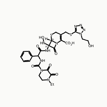 CCN1CCN(C(=O)NC(C(=O)N[C@]2(NO)C(=O)N3C(C(=O)O)=C(CSc4nnnn4CCO)CS[C@H]32)c2ccccc2)C(=O)C1=O